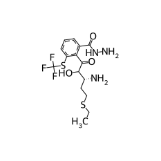 CCSCC[C@@H](N)C(O)C(=O)c1c(SC(F)(F)F)cccc1C(=O)NN